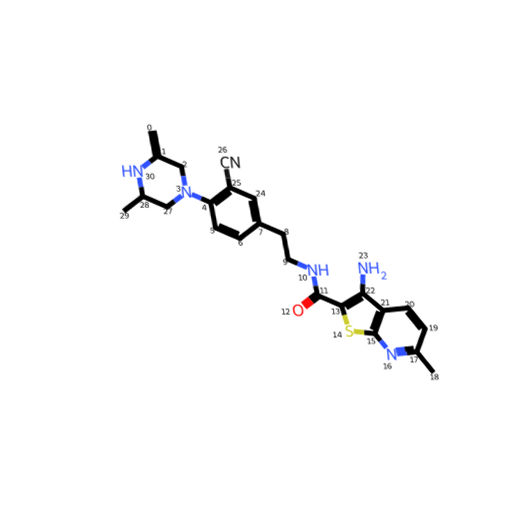 C=C1CN(c2ccc(CCNC(=O)c3sc4nc(C)ccc4c3N)cc2C#N)CC(C)N1